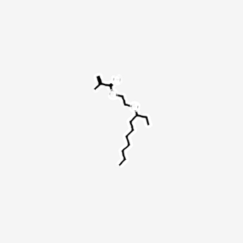 C=C(C)C(=O)OCCOC(CC)CCCCCCC